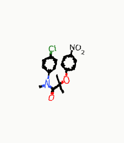 CN(C(=O)C(C)(C)Oc1ccc([N+](=O)[O-])cc1)c1ccc(Cl)cc1